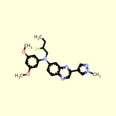 CCC(F)CN(c1cc(OC)cc(OC)c1)c1ccc2ncc(-c3cnn(C)c3)nc2c1